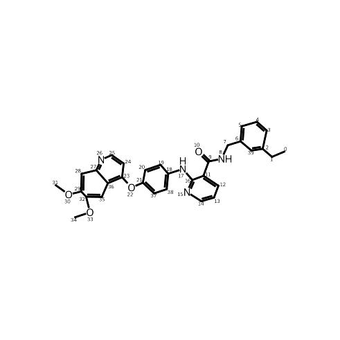 CCc1cccc(CNC(=O)c2cccnc2Nc2ccc(Oc3ccnc4cc(OC)c(OC)cc34)cc2)c1